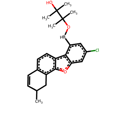 CC1C=Cc2ccc3c(oc4cc(Cl)cc(BOC(C)(C)C(C)(C)O)c43)c2C1